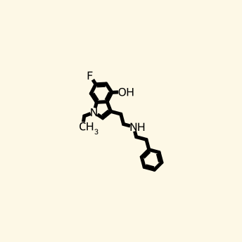 CCn1cc(CCNCCc2ccccc2)c2c(O)cc(F)cc21